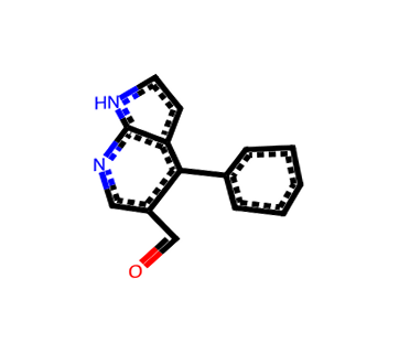 O=Cc1cnc2[nH]ccc2c1-c1ccccc1